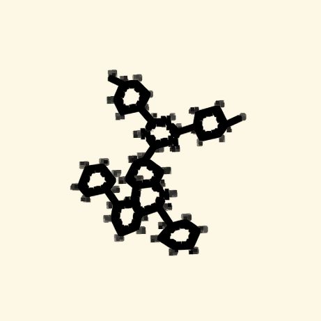 Cc1ccc(-c2nc(-c3ccc(C)cc3)nc(-c3ccc4c(c3)nc(-c3ccccc3)c3cccc(-c5ccccc5)c34)n2)cc1